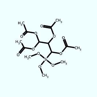 CO[Si](OC)(OC)C(OC(C)=O)C(OC(C)=O)C(OC(C)=O)OC(C)=O